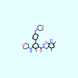 Cc1cc(C)c(CNC(=O)c2cc(-c3ccc(CN4CCOCC4)cc3)cc(NC3CCOCC3)c2C)c(=O)[nH]1